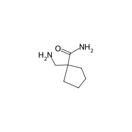 NCC1(C(N)=O)CCCC1